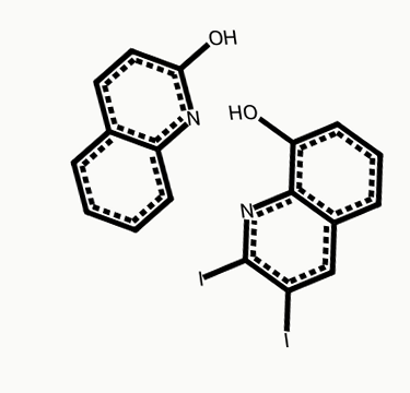 Oc1ccc2ccccc2n1.Oc1cccc2cc(I)c(I)nc12